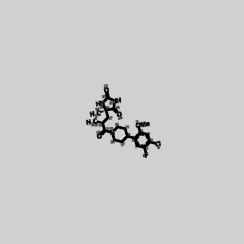 COc1cc(Cl)c(F)cc1C1CCN(C(=O)[C@@H](C)C[C@@]2(C)NC(=O)NC2=O)CC1